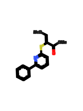 CO/C=C(\Sc1cccc(-c2ccccc2)n1)C(=O)OC